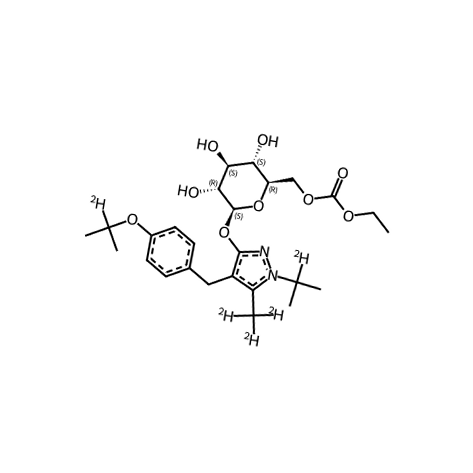 [2H]C(C)(C)Oc1ccc(Cc2c(O[C@@H]3O[C@H](COC(=O)OCC)[C@@H](O)[C@H](O)[C@H]3O)nn(C([2H])(C)C)c2C([2H])([2H])[2H])cc1